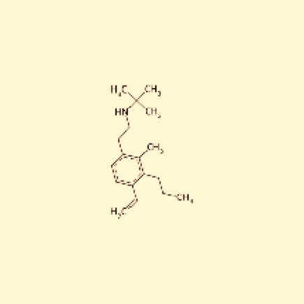 C=Cc1ccc(CCNC(C)(C)C)c(C)c1CCC